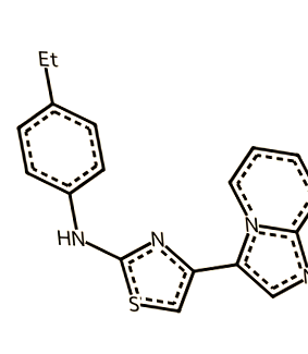 CCc1ccc(Nc2nc(-c3cnc4ccccn34)cs2)cc1